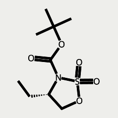 CC[C@H]1COS(=O)(=O)N1C(=O)OC(C)(C)C